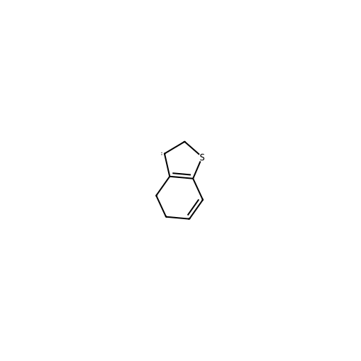 [C]1CSC2=C1CCC=C2